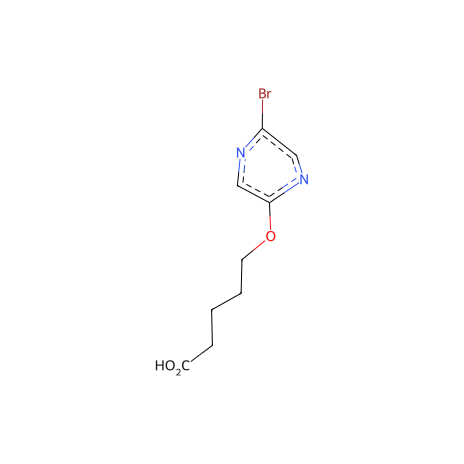 O=C(O)CCCCOc1cnc(Br)cn1